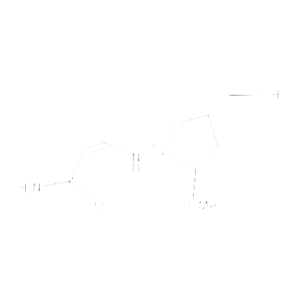 COC1C[C@@H](CO)O[C@H]1N/C=C\C(N)=O